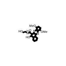 COc1ccc(OC)c2nc3c(nc12)c(C(=O)NCCO)c(O)c1ccccc13